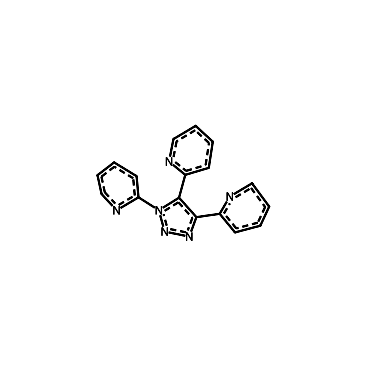 c1ccc(-c2nnn(-c3ccccn3)c2-c2ccccn2)nc1